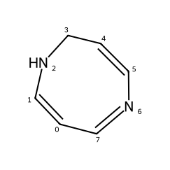 C1=CNCC=CN=C1